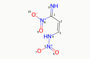 N=C(/C=C\N[N+](=O)[O-])[N+](=O)[O-]